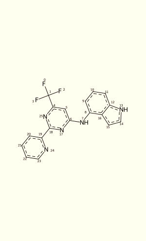 FC(F)(F)c1cc(Nc2cccc3[nH]ccc23)nc(-c2ccccn2)n1